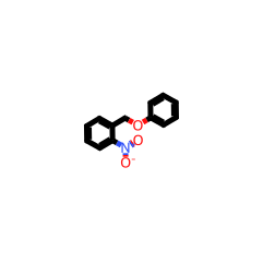 O=[N+]([O-])c1ccccc1COc1ccccc1